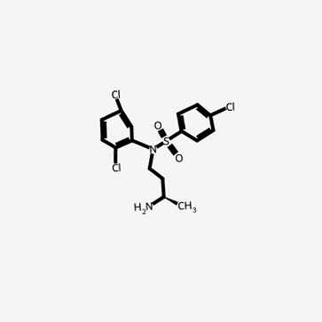 C[C@@H](N)CCN(c1cc(Cl)ccc1Cl)S(=O)(=O)c1ccc(Cl)cc1